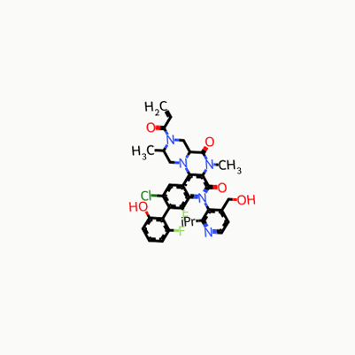 C=CC(=O)N1CC2C(=O)N(C)c3c(c4cc(Cl)c(-c5c(O)cccc5F)c(F)c4n(-c4c(CO)ccnc4C(C)C)c3=O)N2CC1C